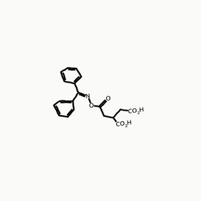 O=C(O)CC(CC(=O)ON=C(c1ccccc1)c1ccccc1)C(=O)O